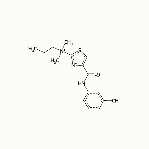 CCC[N+](C)(C)c1nc(C(=O)Nc2cccc(C)c2)cs1